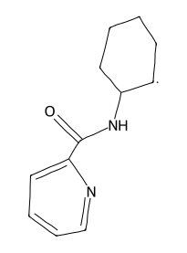 O=C(NC1[CH]CCCC1)c1ccccn1